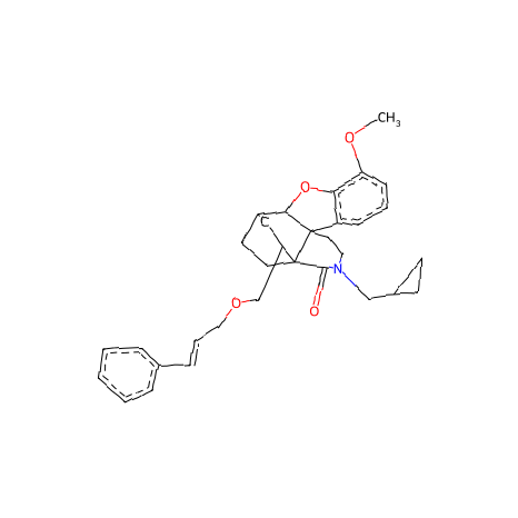 COc1cccc2c1OC1C3CCC4(C(=O)N(CC5CC5)CCC214)C(COCC=Cc1ccccc1)C3